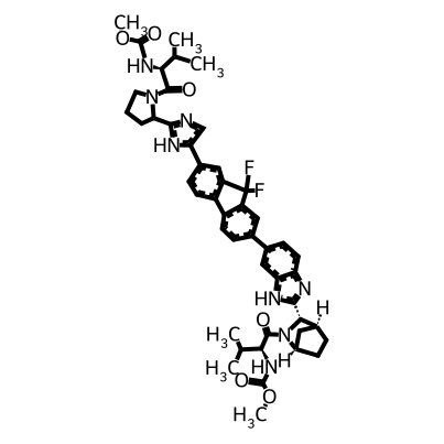 COC(=O)N[C@H](C(=O)N1CCCC1c1ncc(-c2ccc3c(c2)C(F)(F)c2cc(-c4ccc5nc([C@@H]6[C@H]7CC[C@H](C7)N6C(=O)[C@@H](NC(=O)OC)C(C)C)[nH]c5c4)ccc2-3)[nH]1)C(C)C